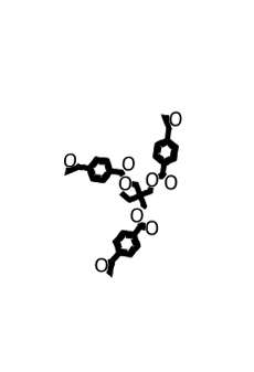 CCC(COC(=O)c1ccc(C2CO2)cc1)(COC(=O)c1ccc(C2CO2)cc1)COC(=O)c1ccc(C2CO2)cc1